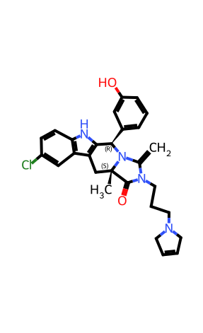 C=C1N(CCCN2CC=CC2)C(=O)[C@]2(C)Cc3c([nH]c4ccc(Cl)cc34)[C@@H](c3cccc(O)c3)N12